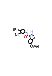 COc1ccc2c(c1)CCN[C@H]2C(=O)Nc1ccc(C(C)(C)C)c(C#N)c1